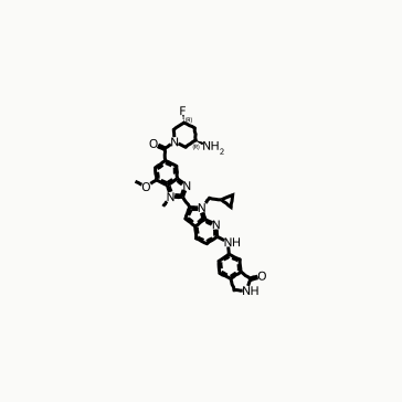 COc1cc(C(=O)N2C[C@H](N)C[C@@H](F)C2)cc2nc(-c3cc4ccc(Nc5ccc6c(c5)C(=O)NC6)nc4n3CC3CC3)n(C)c12